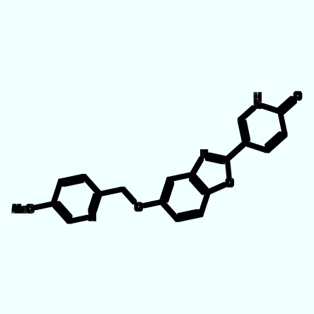 COc1ccc(COc2ccc3oc(-c4ccc(=O)[nH]c4)nc3c2)nc1